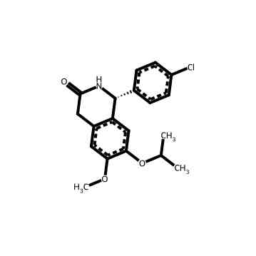 COc1cc2c(cc1OC(C)C)[C@@H](c1ccc(Cl)cc1)NC(=O)C2